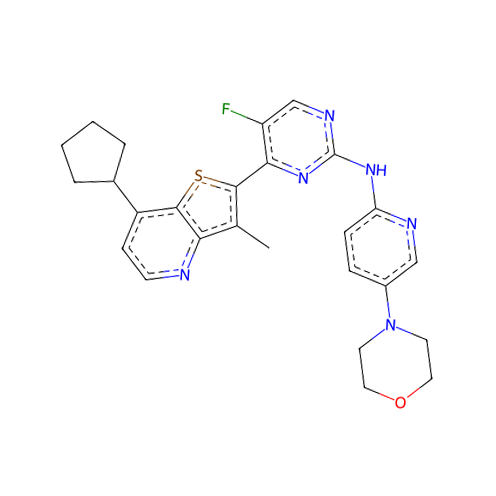 Cc1c(-c2nc(Nc3ccc(N4CCOCC4)cn3)ncc2F)sc2c(C3CCCC3)ccnc12